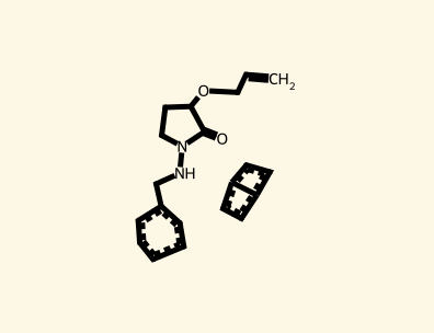 C=CCOC1CCN(NCc2ccccc2)C1=O.c1cc2ccc1-2